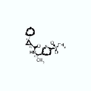 C[C@H](NC(=O)[C@H]1C[C@@H]1c1ccccc1)c1ccc(S(C)(=O)=O)nc1